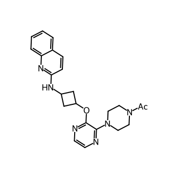 CC(=O)N1CCN(c2nccnc2OC2CC(Nc3ccc4ccccc4n3)C2)CC1